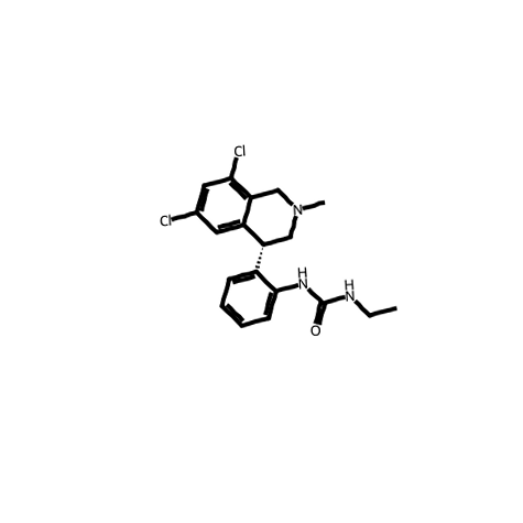 CCNC(=O)Nc1ccccc1[C@H]1CN(C)Cc2c(Cl)cc(Cl)cc21